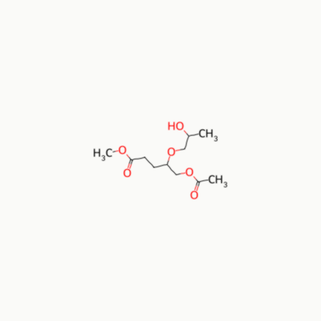 COC(=O)CCC(COC(C)=O)OCC(C)O